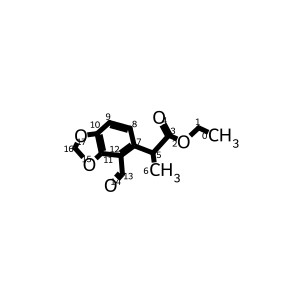 CCOC(=O)C(C)c1ccc2c(c1C=O)OCO2